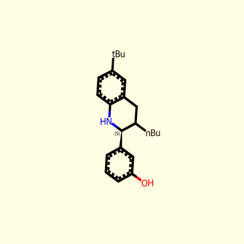 CCCCC1Cc2cc(C(C)(C)C)ccc2N[C@@H]1c1cccc(O)c1